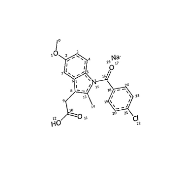 COc1ccc2c(c1)c(CC(=O)O)c(C)n2C(=O)c1ccc(Cl)cc1.[Na]